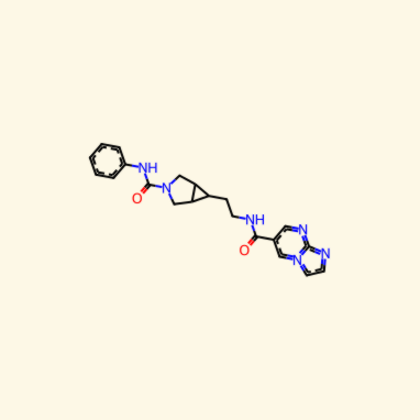 O=C(NCCC1C2CN(C(=O)Nc3ccccc3)CC12)c1cnc2nccn2c1